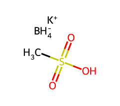 CS(=O)(=O)O.[BH4-].[K+]